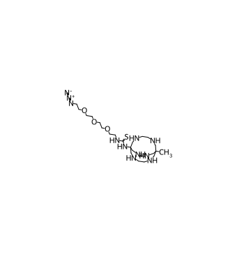 CC12CNCCNCC(NC(=S)NCCOCCOCCOCCN=[N+]=[N-])(CNCCNC1)CNCCNC2